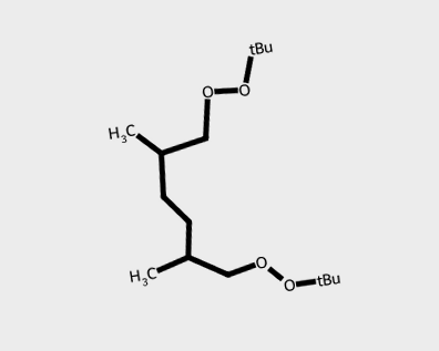 CC(CCC(C)COOC(C)(C)C)COOC(C)(C)C